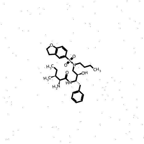 CCCCN(C[C@@H](O)[C@H](Cc1ccccc1)NC(=O)[C@@H](N)[C@@H](C)CC)S(=O)(=O)c1ccc2c(c1)CCO2